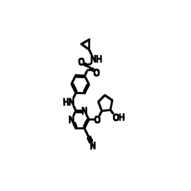 N#Cc1cnc(Nc2ccc(S(=O)(=O)NC3CC3)cc2)nc1OC1CCCC1O